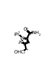 CC(C)n1nc(CC=O)cc1C(N)=O